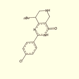 CCCCC1CNCc2c1nc(-c1ccc(Cl)cc1)[nH]c2=O